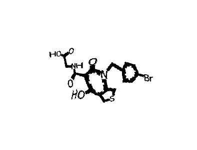 O=C(O)CNC(=O)c1c(O)c2c(n(Cc3ccc(Br)cc3)c1=O)CSC2